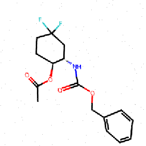 CC(=O)O[C@H]1CCC(F)(F)C[C@@H]1NC(=O)OCc1ccccc1